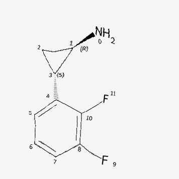 N[C@@H]1C[C@H]1c1cccc(F)c1F